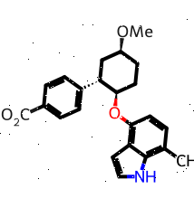 CO[C@H]1CC[C@@H](Oc2ccc(C)c3[nH]ccc23)[C@H](c2ccc(C(=O)O)cc2)C1